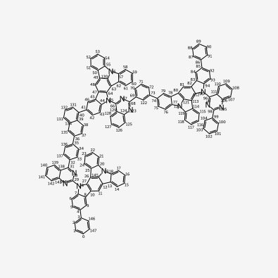 c1ccc(-c2ccc3c(c2)c2cc4c5ccccc5n5c6ccccc6c(c2n3-c2nc(-c3ccc(-c6ccc7c(-c8ccc9c(c8)c8cc%10c%11ccccc%11n%11c%12ccccc%12c(c8n9-c8nc(-c9cccc(-c%12ccc%13c(c%12)c%12cc%14c%15cc(-c%16ccccc%16)ccc%15n(-c%15nc(-c%16ccccc%16)nc%16ccccc%15%16)c%14c%14c%15ccccc%15n%13c%12%14)c9)nc9ccccc89)c%10%11)cccc7c6)cc3)c3ccccc3n2)c45)cc1